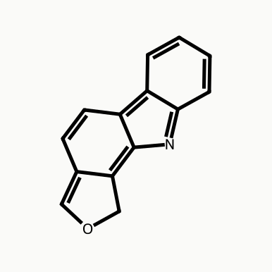 C1=c2ccc3c(c2CO1)N=c1ccccc1=3